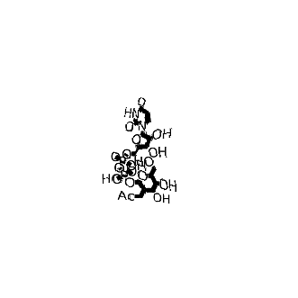 CC(=O)CC1C(OP(=O)(O)OP(=O)(O)OC[C@H]2O[C@@H](n3ccc(=O)[nH]c3=O)[C@@H](O)C2O)OC(CO)C(O)C1O